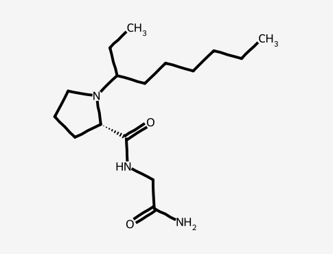 CCCCCCC(CC)N1CCC[C@H]1C(=O)NCC(N)=O